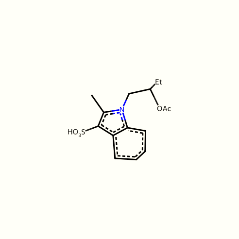 CCC(Cn1c(C)c(S(=O)(=O)O)c2ccccc21)OC(C)=O